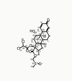 C[C@@H]1C[C@H]2[C@@H]3CCC4=CC(=O)C=C[C@]4(C)[C@@]3(F)[C@@H](O)C[C@]2(C)[C@@]1(OC(=O)C(Cl)Cl)C(=O)OC[S+](C)[O-]